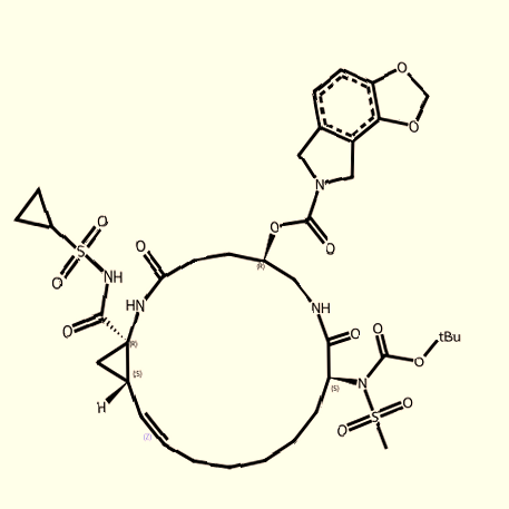 CC(C)(C)OC(=O)N([C@H]1CCCCC/C=C\[C@@H]2C[C@@]2(C(=O)NS(=O)(=O)C2CC2)NC(=O)CC[C@@H](OC(=O)N2Cc3ccc4c(c3C2)OCO4)CNC1=O)S(C)(=O)=O